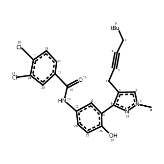 Cn1cc(CC#CCC(C)(C)C)c(-c2cc(NC(=O)c3ccc(Cl)c(Cl)c3)ccc2O)n1